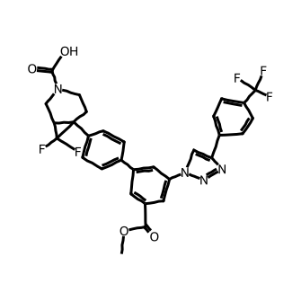 COC(=O)c1cc(-c2ccc(C34CCN(C(=O)O)CC3C4(F)F)cc2)cc(-n2cc(-c3ccc(C(F)(F)F)cc3)nn2)c1